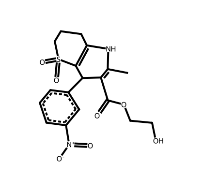 CC1=C(C(=O)OCCO)C(c2cccc([N+](=O)[O-])c2)C2=C(CCCS2(=O)=O)N1